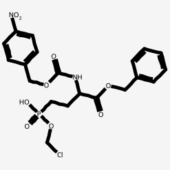 O=C(NC(CCP(=O)(O)OCCl)C(=O)OCc1ccccc1)OCc1ccc([N+](=O)[O-])cc1